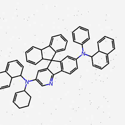 C1=CC2=CC=CC(N(c3ccccc3)c3ccc4c(c3)C3(c5ccccc5C5C=CC=CC53)c3cc(N(C5C=CCCC5)C5C=CC=C6C=CC=CC65)cnc3-4)C2C=C1